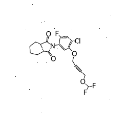 O=C1C2CCCCC2C(=O)N1c1cc(OCC#CCOC(F)F)c(Cl)cc1F